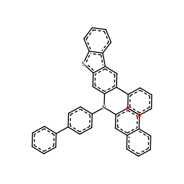 c1ccc(-c2ccc(N(c3ccc4ccccc4c3)c3cc4sc5ccccc5c4cc3-c3ccccc3)cc2)cc1